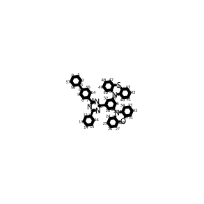 c1ccc(-c2ccc(-c3nc(-c4ccccc4)nc(-c4cc(N5c6ccccc6Oc6ccccc65)cc(N5c6ccccc6Sc6ccccc65)c4)n3)cc2)cc1